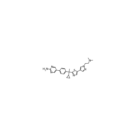 CN(C)CCn1cc(-c2cnc(C(C)(c3ccc(-c4cnc(N)nc4)cc3)C3CC3)s2)cn1